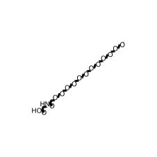 COCCOCCOCCOCCOCCOCCOCCOCCOCCOCCOCCOCCC(=O)NCCC(=O)O